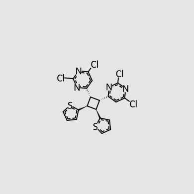 Clc1cc([C@@H]2[C@H](c3cc(Cl)nc(Cl)n3)[C@@H](c3cccs3)[C@H]2c2cccs2)nc(Cl)n1